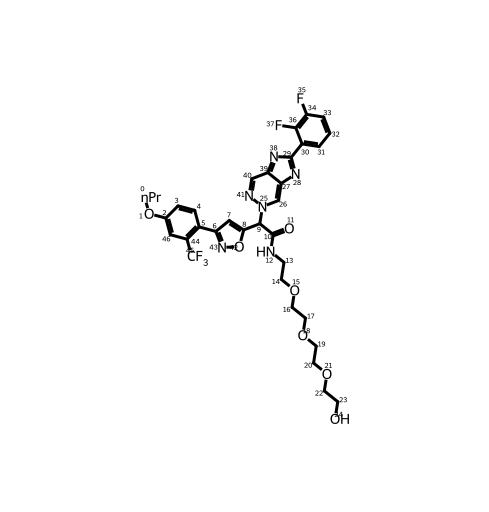 CCCOc1ccc(-c2cc(C(C(=O)NCCOCCOCCOCCO)n3cc4nc(-c5cccc(F)c5F)nc-4cn3)on2)c(C(F)(F)F)c1